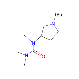 CN(C)C(=O)N(C)C1CCN(C(C)(C)C)C1